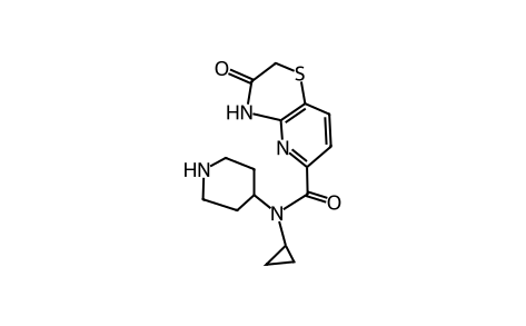 O=C1CSc2ccc(C(=O)N(C3CCNCC3)C3CC3)nc2N1